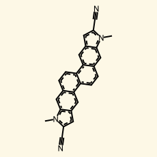 Cn1c(C#N)cc2cc3c(ccc4c5cc6cc(C#N)n(C)c6cc5ccc34)cc21